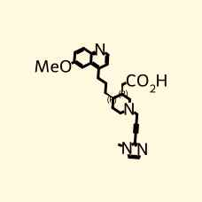 COc1ccc2nccc(CCC[C@@H]3CCN(CC#Cc4nccn4C)C[C@@H]3CC(=O)O)c2c1